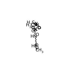 CCOPOCCCCCCNC(=O)CCC(=O)N1Cc2ccccc2-c2nnn(C(C)C)c2-c2ccccc21